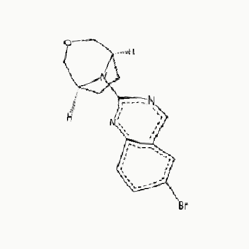 Brc1ccc2nc(N3[C@@H]4CC[C@H]3COC4)ncc2c1